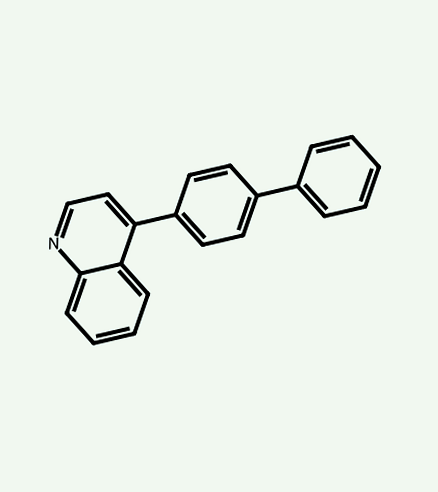 c1ccc(-c2ccc(-c3ccnc4ccccc34)cc2)cc1